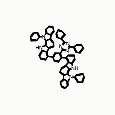 c1ccc(-c2nc(-c3ccccc3)nc(-c3cc(-c4cccc5[nH]c6c(ccc7c8ccccc8n(-c8ccccc8)c76)c45)ccc3-c3cccc4[nH]c5c(ccc6c7ccccc7n(-c7ccccc7)c65)c34)n2)cc1